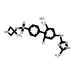 CC1(NS(=O)(=O)c2ccc(-c3c(Cl)cc(Nc4n[nH]c(N)n4)cc3C(F)(F)F)cc2)CNC1.Cl